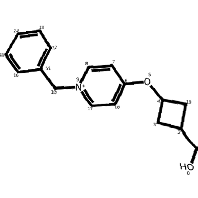 OCC1CC(Oc2cc[n+](Cc3ccccc3)cc2)C1